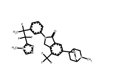 CN1CC2CCC1CN2c1cc2c(c(C(F)(F)F)c1)CN(c1cccc(C(C)(F)C(F)(F)c3nncn3C)c1)C2=O